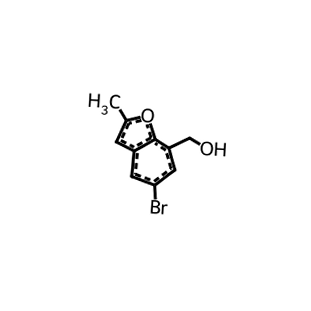 Cc1cc2cc(Br)cc(CO)c2o1